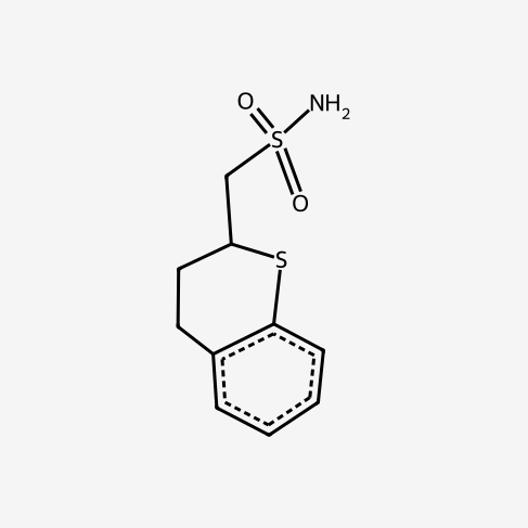 NS(=O)(=O)CC1CCc2ccccc2S1